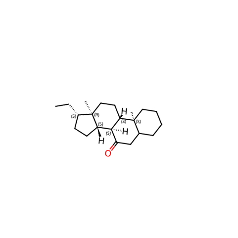 CC[C@H]1CC[C@H]2[C@@H]3C(=O)CC4CCCC[C@]4(C)[C@H]3CC[C@]12C